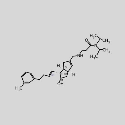 Cc1cccc(CC/C=C/[C@@H]2[C@H]3CC(CNCCC(=O)N(C(C)C)C(C)C)=C[C@H]3C[C@H]2O)c1